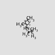 Cc1ccc(CNC[C@@H](C)C(C)C)c(C)c1